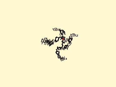 CC(C)(C)CN1CCC(O[C@H]2C[C@H](NC(C)(CCC(C)(CCC(C)(C)Cc3ccc(N4CC[C@@H](NC(C)(C)C)C4)cc3)N[C@H]3C[C@H](Oc4cc(C(C)(C)C)ccn4)C3)CC(C)(C)Cc3ccc(N4CC[C@H](NC(C)(C)C)C4)cc3)C2)CC1